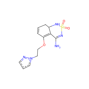 NC1=NS(=O)(=O)NC2CC=CC(OCCn3cccn3)=C12